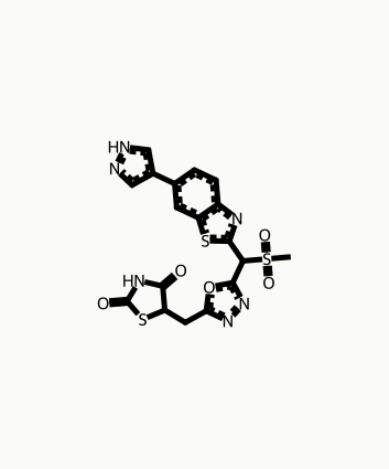 CS(=O)(=O)C(c1nnc(CC2SC(=O)NC2=O)o1)c1nc2ccc(-c3cn[nH]c3)cc2s1